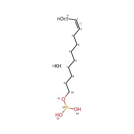 CCCCCCCC/C=C\CCCCCCCCOP(O)O.[KH]